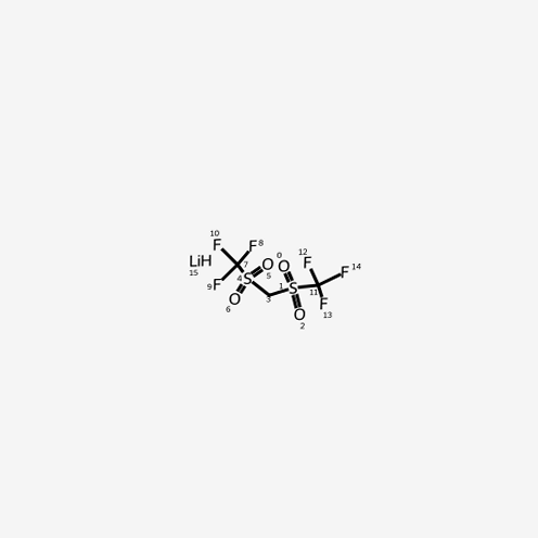 O=S(=O)(CS(=O)(=O)C(F)(F)F)C(F)(F)F.[LiH]